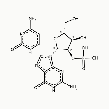 Nc1cc[nH]c(=O)n1.Nc1nc2c(ncn2[C@@H]2O[C@H](CO)[C@@H](O)[C@H]2OP(=O)(O)O)c(=O)[nH]1